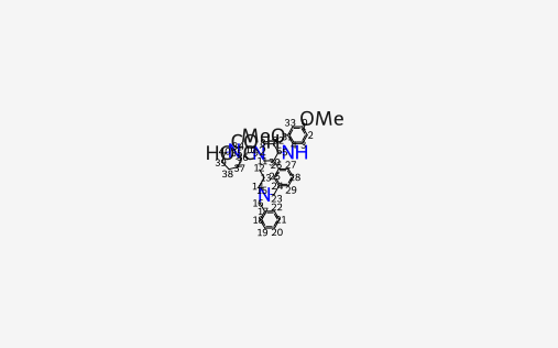 COc1ccc(NC2CCN(C(=O)O)[C@@H](CCCN(Cc3ccccc3)Cc3ccccc3)C2)c(OC)c1.O=C(O)N1CCCCC1